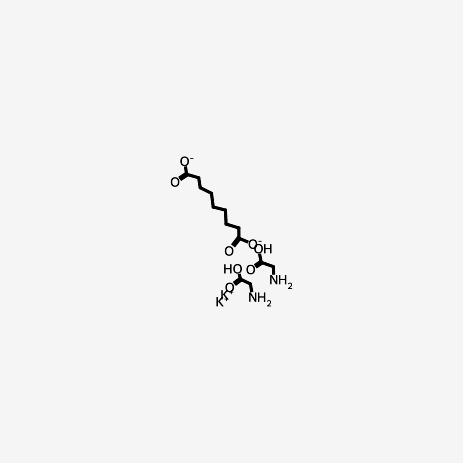 NCC(=O)O.NCC(=O)O.O=C([O-])CCCCCCCC(=O)[O-].[K+].[K+]